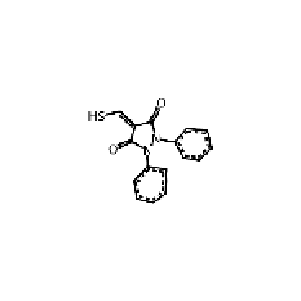 O=C1C(=CS)C(=O)N(c2ccccc2)N1c1ccccc1